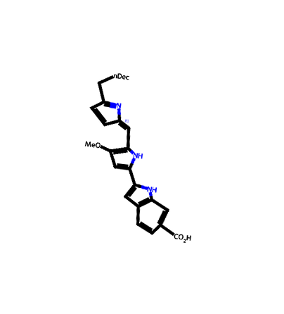 CCCCCCCCCCCC1=N/C(=C/c2[nH]c(-c3cc4ccc(C(=O)O)cc4[nH]3)cc2OC)C=C1